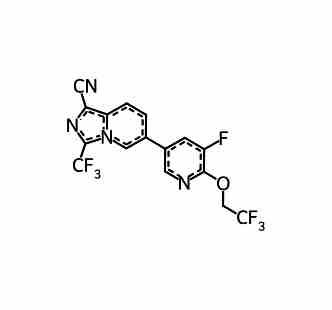 N#Cc1nc(C(F)(F)F)n2cc(-c3cnc(OCC(F)(F)F)c(F)c3)ccc12